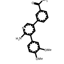 COc1ccc(-c2cc(-c3cccc(C(N)=O)c3)cnc2N)cc1OC